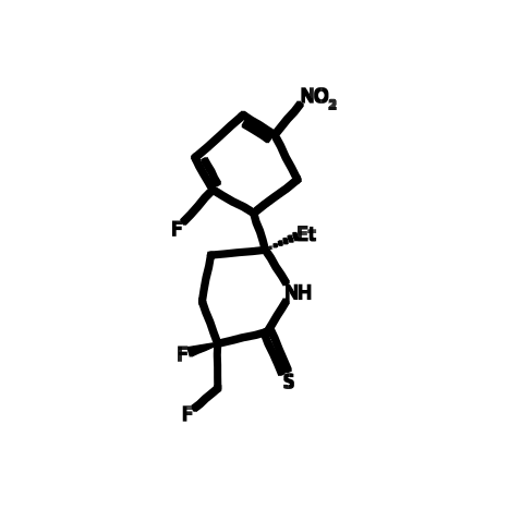 CC[C@@]1(C2CC([N+](=O)[O-])=CC=C2F)CC[C@@](F)(CF)C(=S)N1